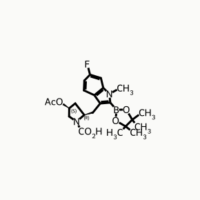 CC(=O)O[C@H]1C[C@@H](Cc2c(B3OC(C)(C)C(C)(C)O3)n(C)c3cc(F)ccc23)N(C(=O)O)C1